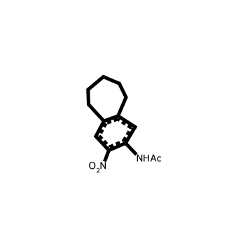 CC(=O)Nc1cc2c(cc1[N+](=O)[O-])CCCCC2